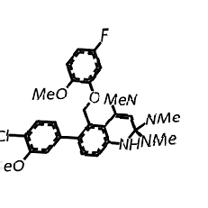 CNC1=CC(NC)(NC)Nc2ccc(-c3ccc(Cl)c(OC)c3)c(COc3cc(F)ccc3OC)c21